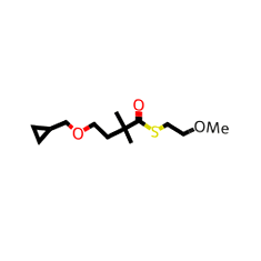 COCCSC(=O)C(C)(C)CCOCC1CC1